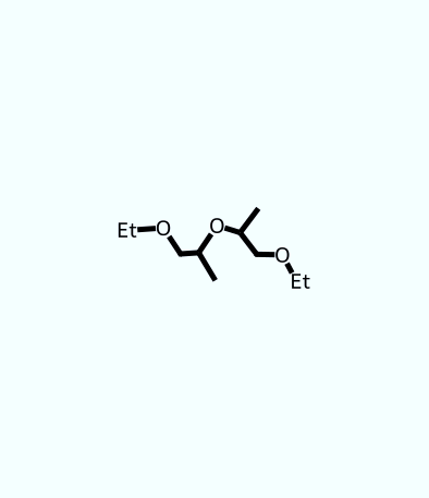 CCOCC(C)OC(C)COCC